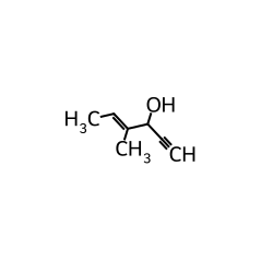 C#CC(O)/C(C)=C/C